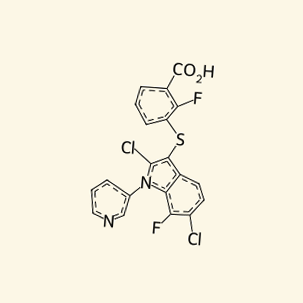 O=C(O)c1cccc(Sc2c(Cl)n(-c3cccnc3)c3c(F)c(Cl)ccc23)c1F